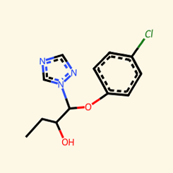 CCC(O)C(Oc1ccc(Cl)cc1)n1cncn1